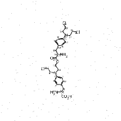 N[C@H](Cc1ccc(N(CCCl)CCOC(=O)[C@@H](N)Cc2ccc(N(CCCl)CCCl)cc2)cc1)C(=O)O